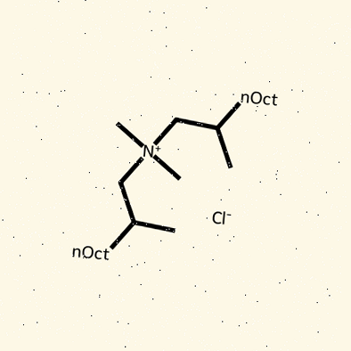 CCCCCCCCC(C)C[N+](C)(C)CC(C)CCCCCCCC.[Cl-]